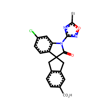 CCc1nc(N2C(=O)C3(Cc4ccc(C(=O)O)cc4C3)c3ccc(Cl)cc32)no1